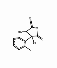 Cc1ccccc1C1(O)C(=O)OC(=O)C1O